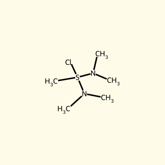 CN(C)S(C)(Cl)N(C)C